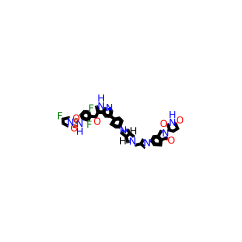 O=C1CC[C@@H](N2Cc3cc(N4CC(CN5C[C@@H]6CN(c7ccc(-c8cnc9[nH]cc(C(=O)c%10c(F)ccc(NS(=O)(=O)N%11CC[C@@H](F)C%11)c%10F)c9c8)cc7)C[C@@H]6C5)C4)ccc3C2=O)C(=O)N1